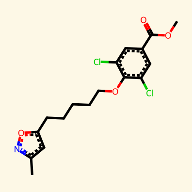 COC(=O)c1cc(Cl)c(OCCCCCc2cc(C)no2)c(Cl)c1